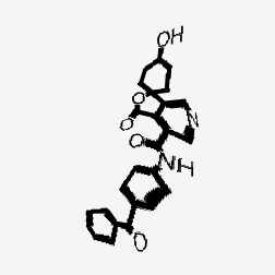 O=C(c1ccccc1)c1ccc(NC(=O)c2cncc3c2C(=O)OC32CCC(O)CC2)cc1